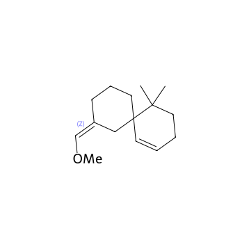 CO/C=C1/CCCC2(C=CCCC2(C)C)C1